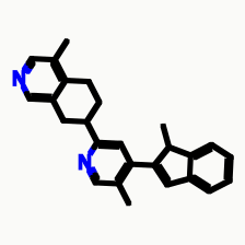 Cc1cnc(C2CCc3c(C)cncc3C2)cc1C1=Cc2ccccc2C1C